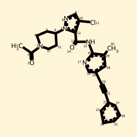 CC(=O)N1CCC(n2ncc(Cl)c2C(=O)Nc2ncc(C#Cc3ccccc3)cc2C)CC1